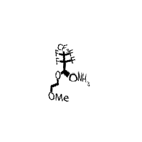 COCCOC(=O)C(F)(F)C(F)(F)C(F)(F)F.N